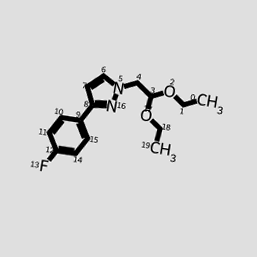 CCOC(Cn1ccc(-c2ccc(F)cc2)n1)OCC